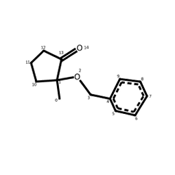 CC1(OCc2ccccc2)CCCC1=O